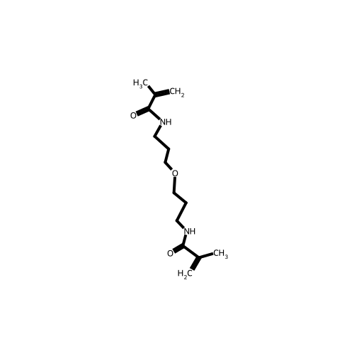 C=C(C)C(=O)NCCCOCCCNC(=O)C(=C)C